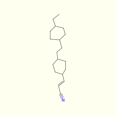 CCC1CCC(CCC2CCC(C=CC#N)CC2)CC1